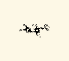 CCN(C)/C=N/c1cc(C)c(Oc2nc(C(C)(C)C)c(Br)s2)cc1C